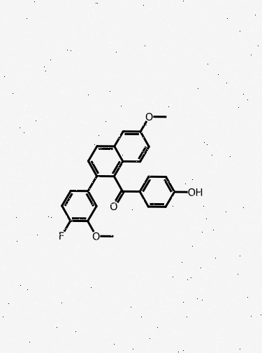 COc1ccc2c(C(=O)c3ccc(O)cc3)c(-c3ccc(F)c(OC)c3)ccc2c1